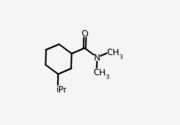 CC(C)C1CCCC(C(=O)N(C)C)C1